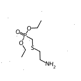 CCOP(=O)(CSCCN)OCC